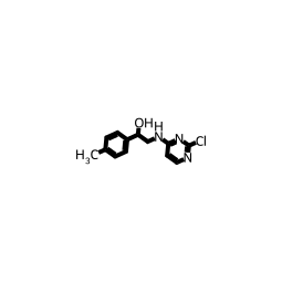 Cc1ccc(C(O)CNc2ccnc(Cl)n2)cc1